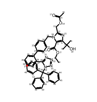 CCOC(=O)c1c(C(C)(C)O)nc(COC(C)=O)n1Cc1ccc(-c2ccccc2-c2nnnn2C(c2ccccc2)(c2ccccc2)c2ccccc2)cc1